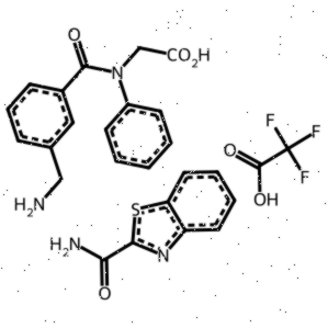 NC(=O)c1nc2ccccc2s1.NCc1cccc(C(=O)N(CC(=O)O)c2ccccc2)c1.O=C(O)C(F)(F)F